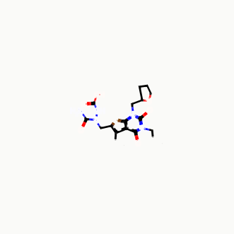 CCn1c(=O)c2c(C)c(CN(NC(=O)O)C(N)=O)sc2n(CC2CCCO2)c1=O